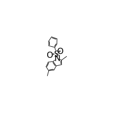 Cc1ccc2c(c1)cc(C)n2S(=O)(=O)c1ccccc1